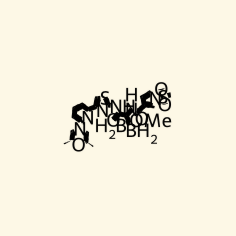 BC(B)(OC)C(NC(=O)c1ccn(S(C)(=O)=O)c1)C(=O)Nc1nc(-c2cccc(N3C[C@@H](C)O[C@@H](C)C3)n2)cs1